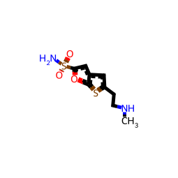 CNCCc1cc2cc(S(N)(=O)=O)oc2s1